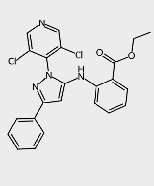 CCOC(=O)c1ccccc1Nc1cc(-c2ccccc2)nn1-c1c(Cl)cncc1Cl